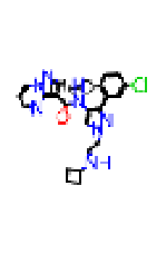 COc1ccc(Cl)cc1-c1nn(CCNC2CCC2)cc1NC(=O)c1cnn2cccnc12